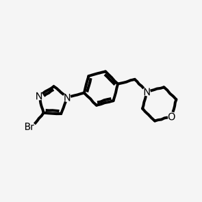 Brc1cn(-c2ccc(CN3CCOCC3)cc2)cn1